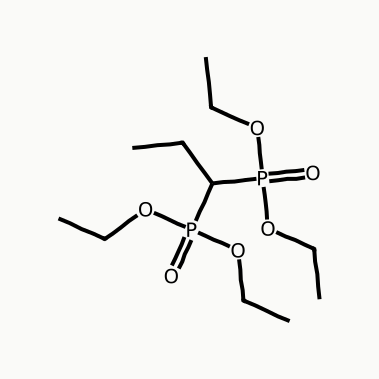 CCOP(=O)(OCC)C(CC)P(=O)(OCC)OCC